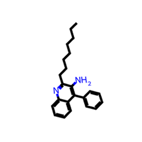 CCCCCCCCc1nc2ccccc2c(-c2ccccc2)c1N